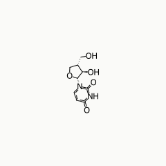 O=c1ccn([C@@H]2OC[C@H](CO)[C@H]2O)c(=O)[nH]1